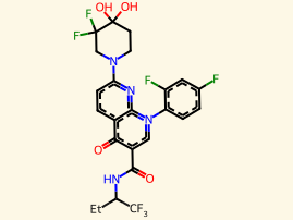 CCC(NC(=O)c1cn(-c2ccc(F)cc2F)c2nc(N3CCC(O)(O)C(F)(F)C3)ccc2c1=O)C(F)(F)F